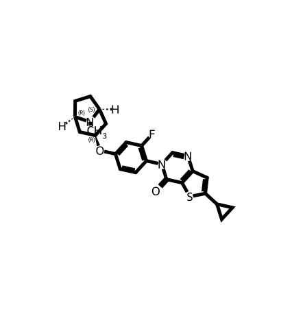 CN1[C@@H]2CC[C@H]1C[C@@H](Oc1ccc(-n3cnc4cc(C5CC5)sc4c3=O)c(F)c1)C2